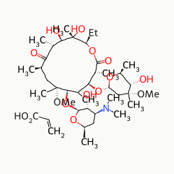 C=CC(=O)O.CC[C@H]1OC(=O)[C@H](C)[C@@H](O[C@H]2C[C@@](C)(OC)[C@@H](O)[C@H](C)O2)C(C)[C@@H](O[C@@H]2O[C@H](C)C[C@H](N(C)C)[C@H]2O)[C@](C)(OC)C[C@@H](C)C(=O)[C@H](C)[C@@H](O)[C@]1(C)O